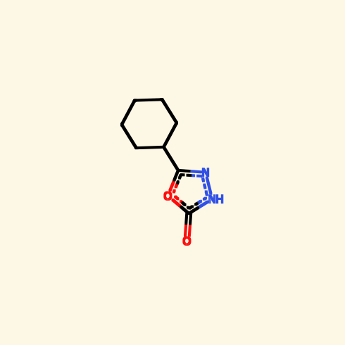 O=c1[nH]nc(C2CCCCC2)o1